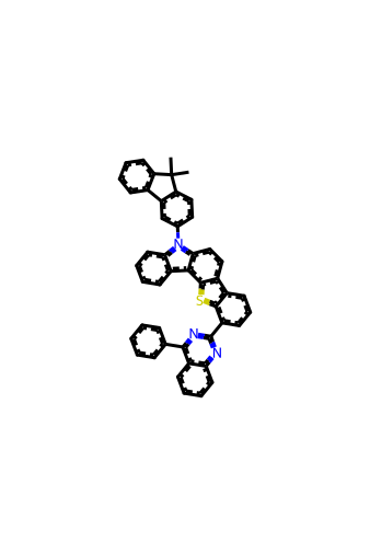 CC1(C)c2ccccc2-c2cc(-n3c4ccccc4c4c5sc6c(-c7nc(-c8ccccc8)c8ccccc8n7)cccc6c5ccc43)ccc21